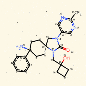 N[C@]1(c2ccccc2)CC[C@]2(CC1)CN(c1cnc(C(F)(F)F)nc1)C(=O)N2CC1(O)CCC1